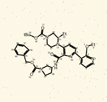 CCOc1ncccc1-c1ccc(N2CCN(C(=O)OC(C)(C)C)C[C@H]2CC)c(C(=O)N[C@@H]2CCN(C(=O)OCc3ccccc3)C2)n1